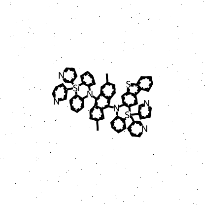 Cc1ccc2c(N3c4ccccc4[Si](c4cccnc4)(c4cccnc4)c4cc5c(cc43)sc3ccccc35)c3cc(C)ccc3c(N3c4ccccc4[Si](c4cccnc4)(c4cccnc4)c4ccccc43)c2c1